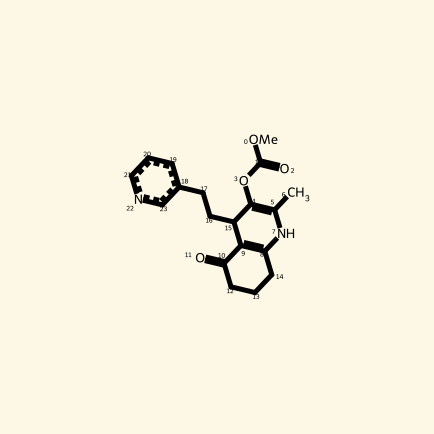 COC(=O)OC1=C(C)NC2=C(C(=O)CCC2)C1CCc1cccnc1